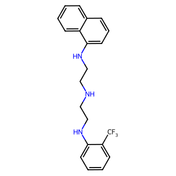 FC(F)(F)c1ccccc1NCCNCCNc1cccc2ccccc12